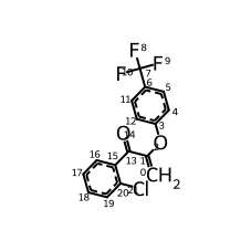 C=C(Oc1ccc(C(F)(F)F)cc1)C(=O)c1ccccc1Cl